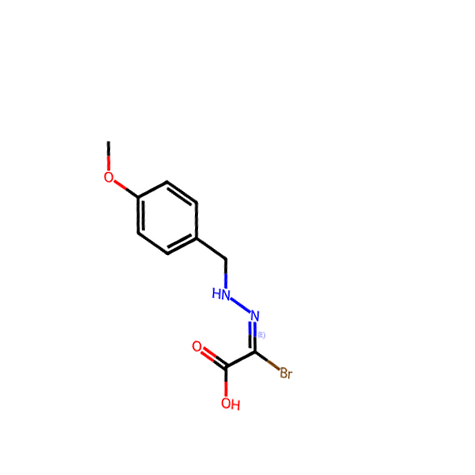 COc1ccc(CN/N=C(/Br)C(=O)O)cc1